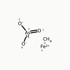 C.O=[AsH]([O-])[O-].[Fe+2]